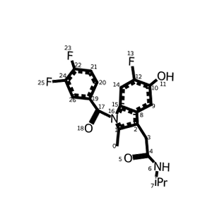 Cc1c(CC(=O)NC(C)C)c2cc(O)c(F)cc2n1C(=O)c1ccc(F)c(F)c1